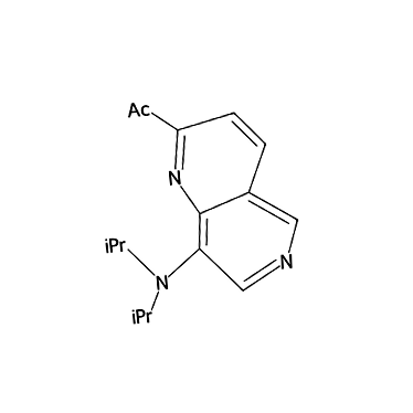 CC(=O)c1ccc2cncc(N(C(C)C)C(C)C)c2n1